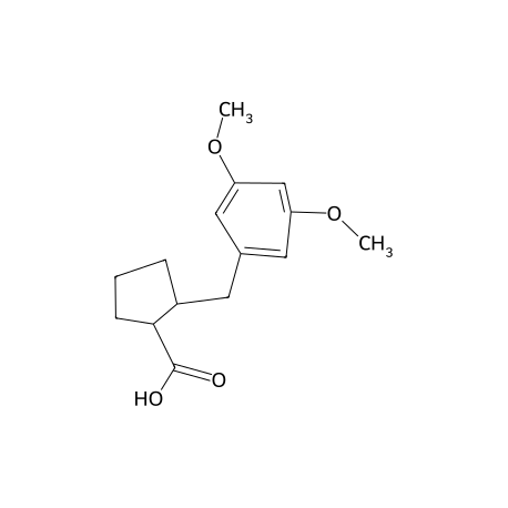 COc1cc(CC2CCCC2C(=O)O)cc(OC)c1